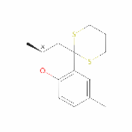 Cc1ccc2c(c1)C1(C[C@H](C)O2)SCCCS1